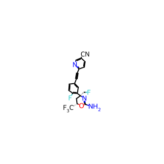 N#Cc1ccc(C#Cc2ccc(F)c([C@]3(CF)C[C@@H](C(F)(F)F)OC(N)=N3)c2)nc1